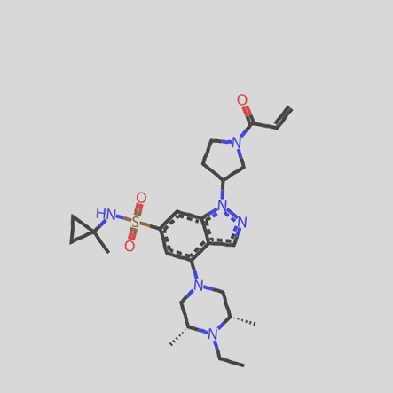 C=CC(=O)N1CCC(n2ncc3c(N4C[C@@H](C)N(CC)[C@@H](C)C4)cc(S(=O)(=O)NC4(C)CC4)cc32)C1